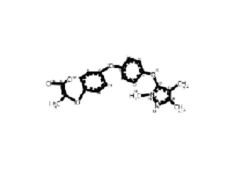 CC(Oc1ccc(Oc2ccc(Oc3c(C)c(C)nn3C)cc2)cc1)=C(Cl)Cl